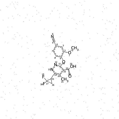 COc1cc(C#N)ccc1Oc1nnc(C2CC2(F)F)c(C)c1C(=O)O